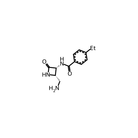 CCc1ccc(C(=O)N[C@H]2C(=O)N[C@H]2CN)cc1